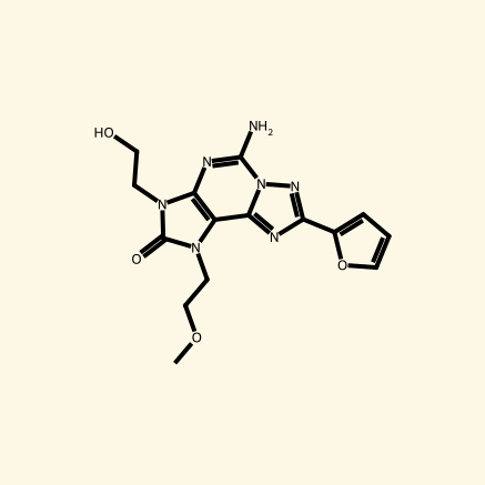 COCCn1c(=O)n(CCO)c2nc(N)n3nc(-c4ccco4)nc3c21